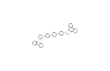 c1cc(-c2ccc(-c3ccc(-c4ccc(-c5cnc6c7ccccc7c7ccccc7c6n5)cc4)cc3)cc2)cc(-n2c3ccccc3c3ccccc32)c1